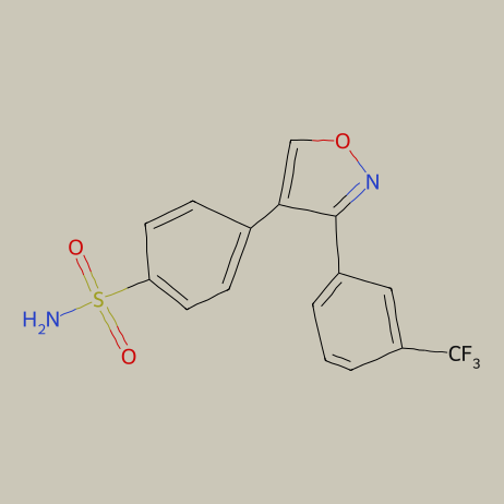 NS(=O)(=O)c1ccc(-c2conc2-c2cccc(C(F)(F)F)c2)cc1